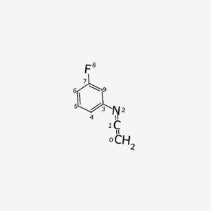 C=C=Nc1cccc(F)c1